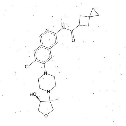 C[C@]1(N2CCN(c3cc4cc(NC(=O)C5CC6(CC6)C5)ncc4cc3Cl)CC2)COC[C@H]1O